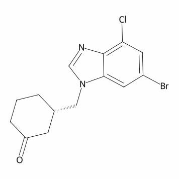 O=C1CCC[C@H](Cn2cnc3c(Cl)cc(Br)cc32)C1